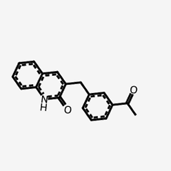 CC(=O)c1cccc(Cc2cc3ccccc3[nH]c2=O)c1